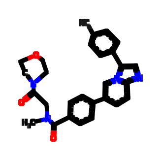 CN(CC(=O)N1CCOCC1)C(=O)c1ccc(-c2ccc3ncc(-c4ccc(C#N)cc4)n3c2)cc1